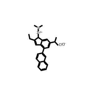 CCC1=Cc2c(-c3ccc4ccccc4c3)cc(C(C)C)cc2[CH]1[Zr+2][Si](C)C.[Cl-].[Cl-]